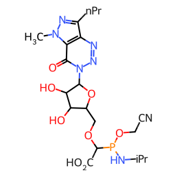 CCCc1nn(C)c2c(=O)n(C3OC(COC(C(=O)O)P(NC(C)C)OCC#N)C(O)C3O)nnc12